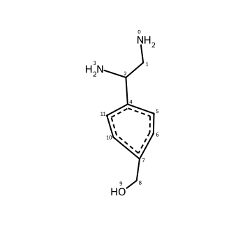 NCC(N)c1ccc(CO)cc1